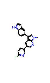 Cn1cc(-c2ccc3[nH]ccc3c2)c2cc(-c3ccc(F)nc3)cnc21